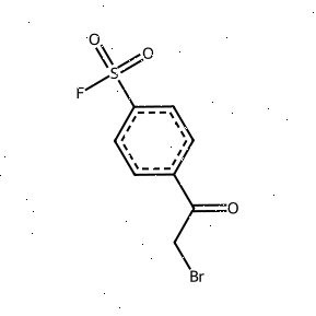 O=C(CBr)c1ccc(S(=O)(=O)F)cc1